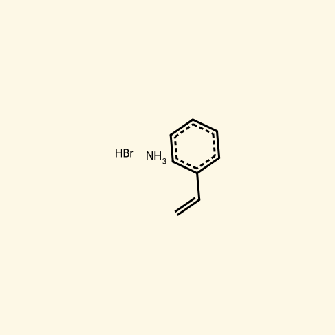 Br.C=Cc1ccccc1.N